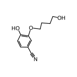 N#Cc1ccc(O)c(OCCCCO)c1